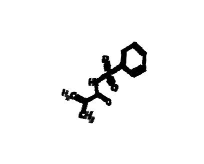 C=C(C)C(=O)NS(=O)(=O)c1ccccc1